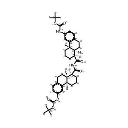 CC(C)(C)OC(=O)Nc1ccc2c(c1)[C@@]1(C)CCC[C@](C)(C(=O)NC(=O)[C@@]3(C)CCC[C@]4(C)c5cc(OC(=O)OC(C)(C)C)ccc5CC[C@@H]34)[C@@H]1CC2